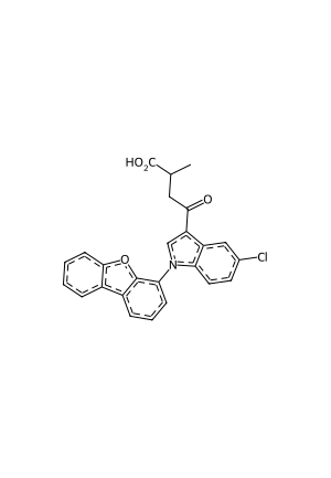 CC(CC(=O)c1cn(-c2cccc3c2oc2ccccc23)c2ccc(Cl)cc12)C(=O)O